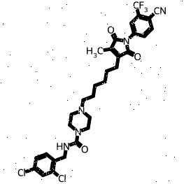 CC1=C(CCCCCCN2CCN(C(=O)NCc3ccc(Cl)cc3Cl)CC2)C(=O)N(c2ccc(C#N)c(C(F)(F)F)c2)C1=O